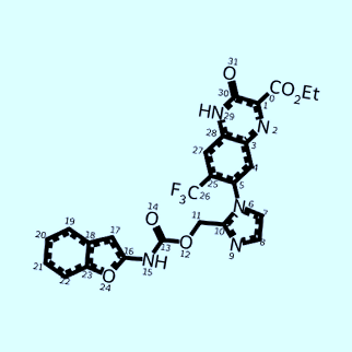 CCOC(=O)c1nc2cc(-n3ccnc3COC(=O)Nc3cc4ccccc4o3)c(C(F)(F)F)cc2[nH]c1=O